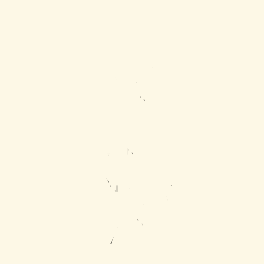 C=Cc1c(/C=C(\C)F)c(-c2ccccc2C)cn1C[C@@H]1CCCN1C(=O)[C@@H](NC(=O)[C@H](C)N(C)C(=O)OC(C)(C)C)C1CCCCC1